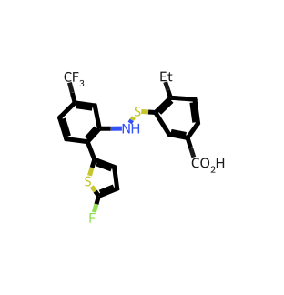 CCc1ccc(C(=O)O)cc1SNc1cc(C(F)(F)F)ccc1-c1ccc(F)s1